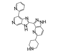 c1ccc(-c2cncc3[nH]c(-c4n[nH]c5ccc(C6CCNCC6)nc45)nc23)nc1